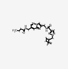 O=C(CCC(F)(F)F)NCc1cnn2cc(CNC(=O)c3cnn(CC4CCC4(F)F)n3)nc2c1